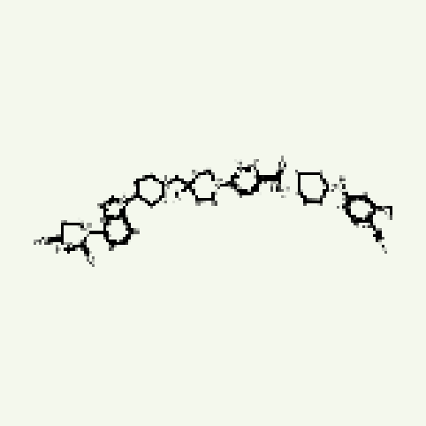 CC1(CN2CCC(n3ccc4c(N5CCC(=O)NC5=O)cccc43)CC2)CCN(c2ccc(C(=O)N[C@H]3CC[C@H](Oc4ccc(C#N)c(Cl)c4)CC3)nn2)CC1